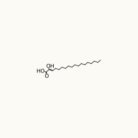 CCCCCCCCCCCCCCC/C=C(\O)C(=O)O